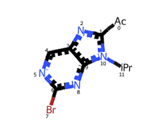 CC(=O)c1nc2cnc(Br)nc2n1C(C)C